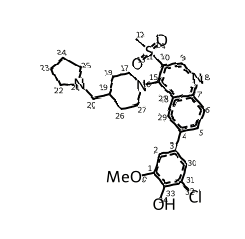 COc1cc(-c2ccc3ncc(S(C)(=O)=O)c(N4CCC(CN5CCCC5)CC4)c3c2)cc(Cl)c1O